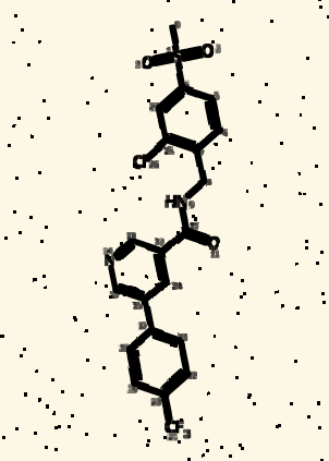 CS(=O)(=O)c1ccc(CNC(=O)c2cncc(-c3ccc(C(F)(F)F)cc3)c2)c(Cl)c1